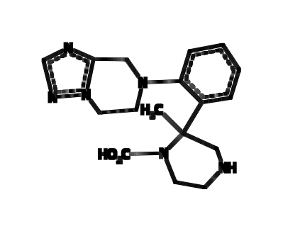 CC1(c2ccccc2N2CCn3ncnc3C2)CNCCN1C(=O)O